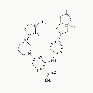 CN1CCN([C@@H]2CCCN(c3cnc(C(N)=O)c(Nc4ccc(C5CC6CNC[C@H]6C5)cc4)n3)C2)C1=O